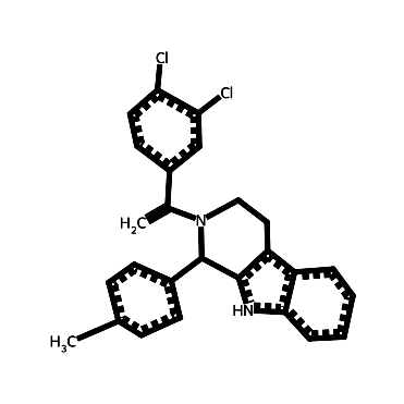 C=C(c1ccc(Cl)c(Cl)c1)N1CCc2c([nH]c3ccccc23)C1c1ccc(C)cc1